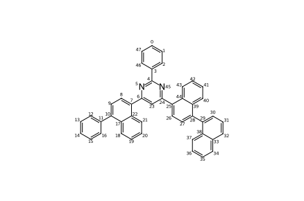 c1ccc(-c2nc(-c3ccc(-c4ccccc4)c4ccccc34)cc(-c3ccc(-c4cccc5ccccc45)c4ccccc34)n2)cc1